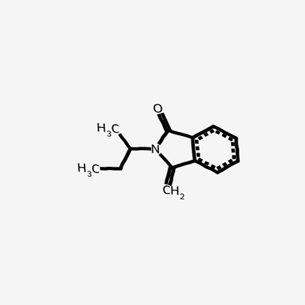 C=C1c2ccccc2C(=O)N1C(C)CC